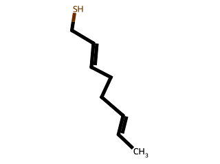 CC=CCCC=CCS